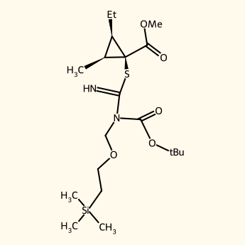 CC[C@@H]1[C@H](C)[C@@]1(SC(=N)N(COCC[Si](C)(C)C)C(=O)OC(C)(C)C)C(=O)OC